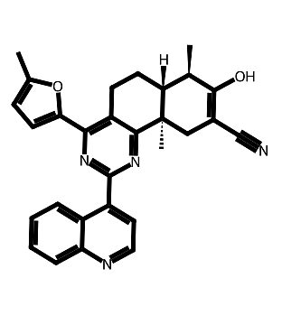 Cc1ccc(-c2nc(-c3ccnc4ccccc34)nc3c2CC[C@@H]2[C@@H](C)C(O)=C(C#N)C[C@@]32C)o1